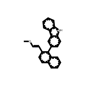 CO/C=C/c1ccc2ccccc2c1-c1ccc2[nH]c3ccccc3c2c1